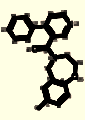 Cc1ccc2c(c1)CN(C(=O)c1cnccc1-c1ccccc1)CCO2